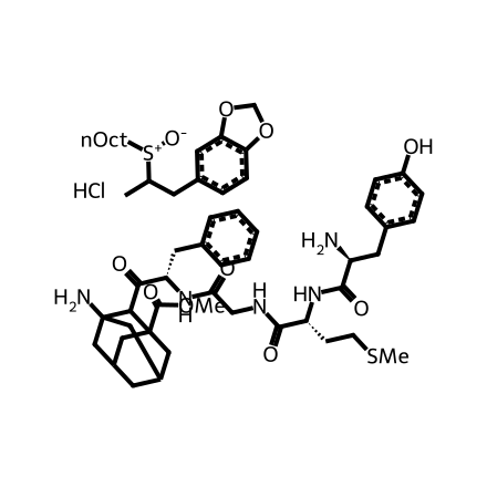 CCCCCCCC[S+]([O-])C(C)Cc1ccc2c(c1)OCO2.COC(=O)C12CC3CC(CC(N)(C3)C1C(=O)[C@H](Cc1ccccc1)NC(=O)CNC(=O)[C@@H](CCSC)NC(=O)[C@@H](N)Cc1ccc(O)cc1)C2.Cl